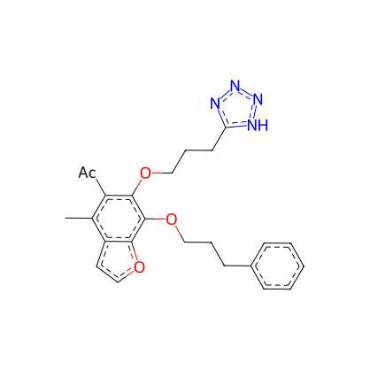 CC(=O)c1c(OCCCc2nnn[nH]2)c(OCCCc2ccccc2)c2occc2c1C